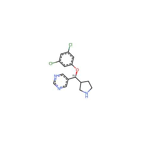 Clc1cc(Cl)cc(O[C@H](c2cncnc2)C2CCNC2)c1